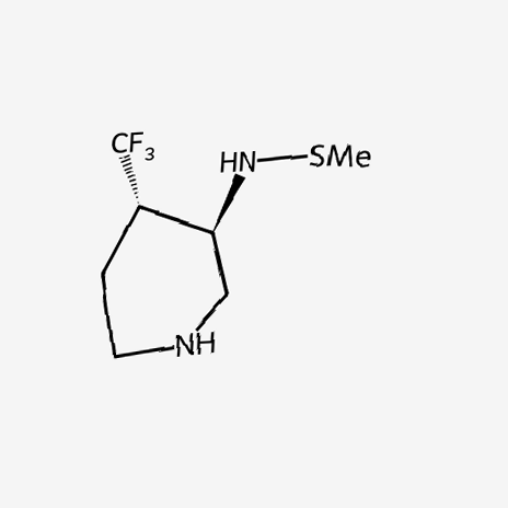 CSN[C@H]1CNCC[C@@H]1C(F)(F)F